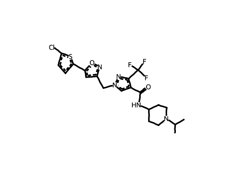 CC(C)N1CCC(NC(=O)c2cn(Cc3cc(-c4ccc(Cl)s4)on3)nc2C(F)(F)F)CC1